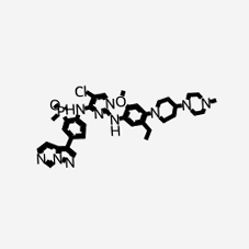 CCc1cc(Nc2ncc(Cl)c(Nc3ccc(-c4cnn5cnccc45)cc3P(C)(C)=O)n2)c(OC)cc1N1CCC(N2CCN(C)CC2)CC1